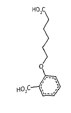 O=C(O)CCCCCOc1ccccc1C(=O)O